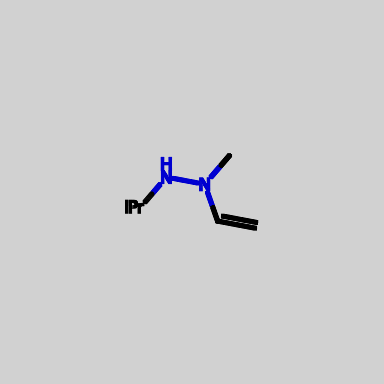 C=CN(C)NC(C)C